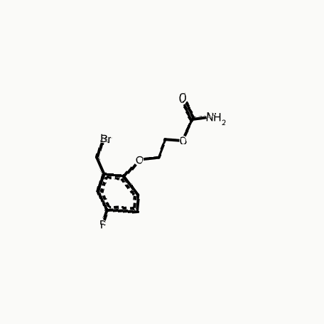 NC(=O)OCCOc1ccc(F)cc1CBr